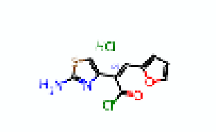 Cl.Nc1nc(/C(=C/c2ccco2)C(=O)Cl)cs1